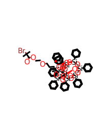 CC(C)(Br)C(=O)OCCOCCC[Si]1(C)O[Si]2(c3ccccc3)O[Si]3(c4ccccc4)O[Si]4(c5ccccc5)O[SiH2]O[Si]5(c6ccccc6)O[Si](c6ccccc6)(O[Si](c6ccccc6)(O1)O[Si](c1ccccc1)(O5)O[Si](c1ccccc1)(O4)O2)O3